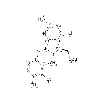 CCc1c(C)cnc(CN2C[C@H](CC(=O)O)c3c(Cl)nc(N)nc32)c1C